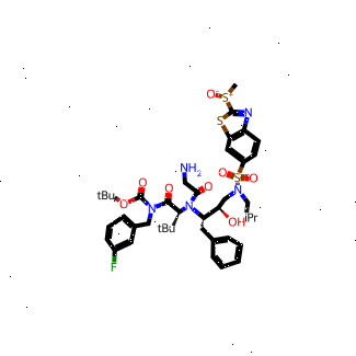 CC(C)CN(C[C@@H](O)[C@H](Cc1ccccc1)N(C(=O)CN)[C@H](C(=O)N(Cc1cccc(F)c1)C(=O)OC(C)(C)C)C(C)(C)C)S(=O)(=O)c1ccc2nc([S+](C)[O-])sc2c1